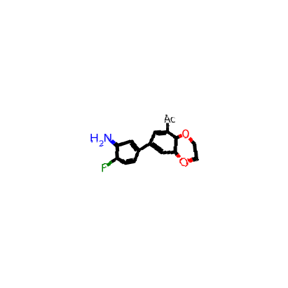 CC(=O)C1=CC(C2=CC(N)C(F)C=C2)=CC2OCCOC12